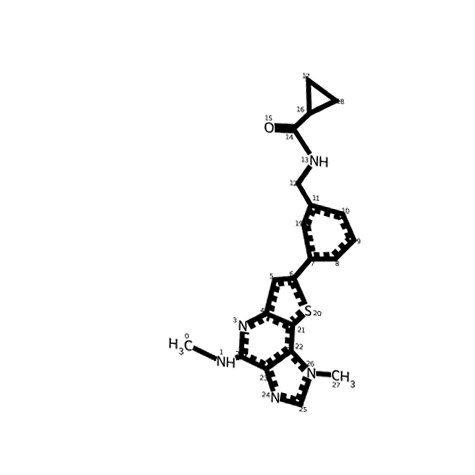 CNc1nc2cc(-c3cccc(CNC(=O)C4CC4)c3)sc2c2c1ncn2C